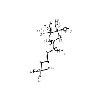 CC1(C)OB([C@@H](N)CCCC(F)(F)F)OC1(C)C